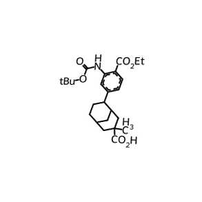 CCOC(=O)c1ccc(C2CCC3CC2CC(C)(C(=O)O)C3)cc1NC(=O)OC(C)(C)C